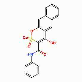 O=C(Nc1ccccc1)C1=C(O)c2cc3ccccc3cc2OS1(=O)=O